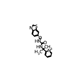 CC(C)(NC(=O)NOc1ccc2ncsc2c1)c1ccccn1